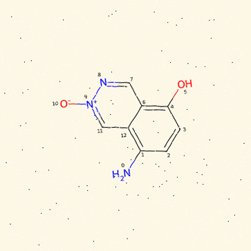 Nc1ccc(O)c2cn[n+]([O-])cc12